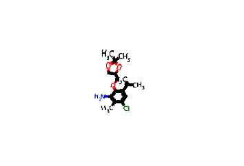 C=C(C)c1cc(Cl)c(C)c(N)c1OCC1COC(C)(C)O1